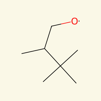 CC(C[O])C(C)(C)C